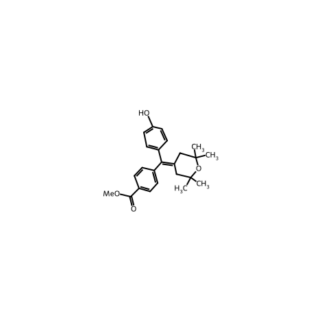 COC(=O)c1ccc(C(=C2CC(C)(C)OC(C)(C)C2)c2ccc(O)cc2)cc1